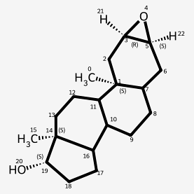 C[C@]12C[C@H]3O[C@H]3CC1CCC1C2CC[C@@]2(C)C1CC[C@@H]2O